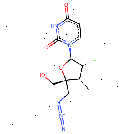 C[C@H]1[C@@H](F)[C@H](n2ccc(=O)[nH]c2=O)O[C@@]1(CO)CN=[N+]=[N-]